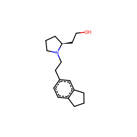 OCC[C@@H]1CCCN1CCc1ccc2c(c1)CCC2